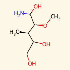 CO[C@H](C(N)O)[C@H](C)C(O)CO